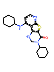 O=C1c2sc3nccc(NC4CCCCC4)c3c2NCN1C1CCCCC1